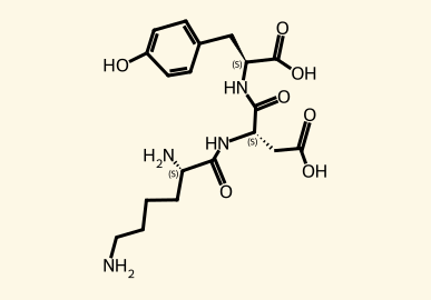 NCCCC[C@H](N)C(=O)N[C@@H](CC(=O)O)C(=O)N[C@@H](Cc1ccc(O)cc1)C(=O)O